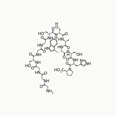 C[C@H](NC(=O)[C@H](CO)NC(=O)[C@H](CO)NC(=O)CNC(=O)CNC(=O)[C@H](CO)NC(=O)CNC(=O)CNC(=O)CN)C(=O)N[C@@H](Cc1c[nH]c2ccccc12)C(=O)N[C@@H](CO)C(=O)N[C@@H](Cc1c[nH]cn1)C(=O)N1CCC[C@H]1C(=O)O